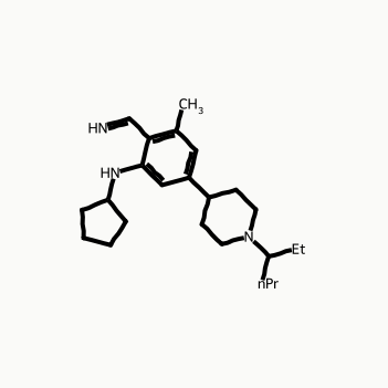 CCCC(CC)N1CCC(c2cc(C)c(C=N)c(NC3CCCC3)c2)CC1